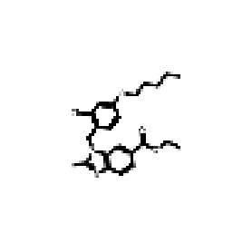 CCCCCOc1ccc(Cn2c(C)nc3ccc(C(=O)OCC)cc32)c(Cl)c1